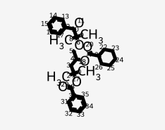 CC(C)(CC(COC(C)(C)C(=O)c1ccccc1)OC(=O)C1CCCCC1)OC(=O)c1ccccc1